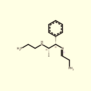 C[C@H](NCCP)[C@@H](/N=C/CP)c1ccccc1